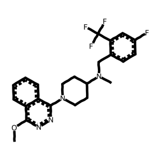 COc1nnc(N2CCC(N(C)Cc3ccc(F)cc3C(F)(F)F)CC2)c2ccccc12